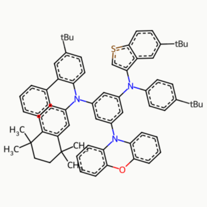 CC(C)(C)c1ccc(N(c2cc(N(c3ccc4c(c3)C(C)(C)CCC4(C)C)c3ccc(C(C)(C)C)cc3-c3ccccc3)cc(N3c4ccccc4Oc4ccccc43)c2)c2csc3ccc(C(C)(C)C)cc23)cc1